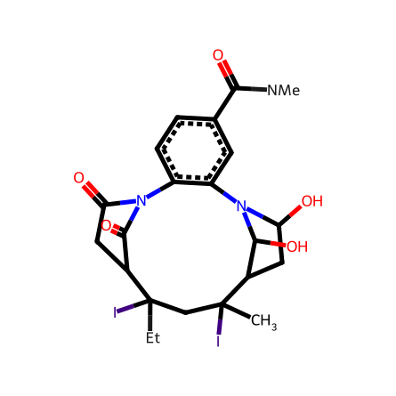 CCC1(I)CC(C)(I)C2CC(O)N(c3cc(C(=O)NC)ccc3N3C(=O)CC1C3=O)C2O